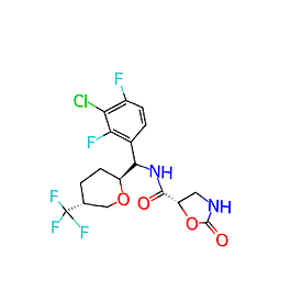 O=C1NC[C@@H](C(=O)NC(c2ccc(F)c(Cl)c2F)[C@@H]2CC[C@@H](C(F)(F)F)CO2)O1